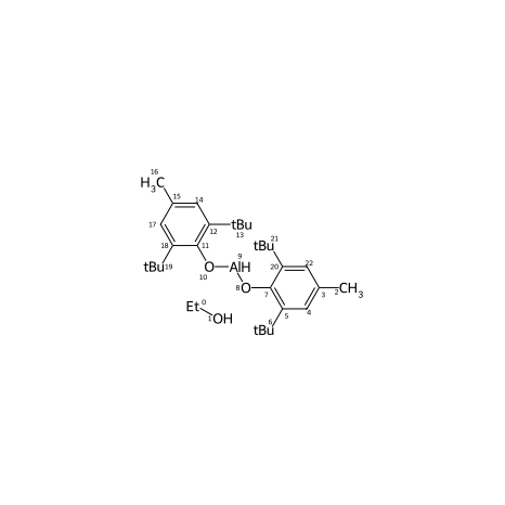 CCO.Cc1cc(C(C)(C)C)c([O][AlH][O]c2c(C(C)(C)C)cc(C)cc2C(C)(C)C)c(C(C)(C)C)c1